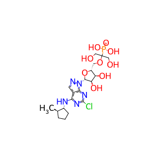 C[C@@H]1CCC[C@H]1Nc1nc(Cl)nc2c1cnn2[C@@H]1O[C@H](COC(CO)(CO)P(=O)(O)O)[C@@H](O)[C@H]1O